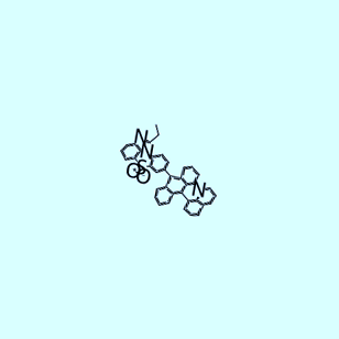 CCc1nc2cccc3c2n1-c1ccc(-c2c4ccccc4c(-c4cccc5cccnc45)c4ccccc24)cc1S3(=O)=O